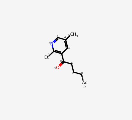 CCc1ncc(C)cc1C(=O)CCCC(C)=O